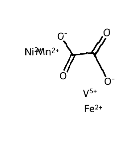 O=C([O-])C(=O)[O-].[Fe+2].[Mn+2].[Ni+2].[V+5]